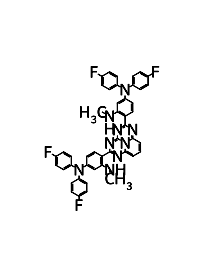 CNc1cc(N(c2ccc(F)cc2)c2ccc(F)cc2)ccc1C1=NC2=CC=CC3=NC(c4ccc(N(c5ccc(F)cc5)c5ccc(F)cc5)cc4NC)=NC(=N1)N23